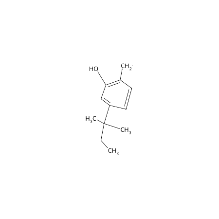 [CH2]c1ccc(C(C)(C)CC)cc1O